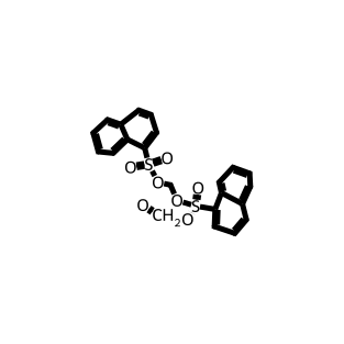 C=O.O=S(=O)(OCOS(=O)(=O)c1cccc2ccccc12)c1cccc2ccccc12